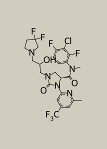 Cc1cc(C(F)(F)F)cc(N2C(=O)N(CC(O)CN3CCC(F)(F)C3)C[C@H]2C(=O)N(C)c2ccc(F)c(Cl)c2F)n1